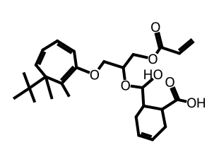 C=CC(=O)OCC(COC1=C(C)C(C)(C(C)(C)C)C=CC=C1)OC(O)C1CC=CCC1C(=O)O